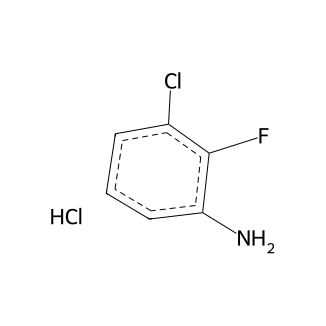 Cl.Nc1cccc(Cl)c1F